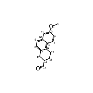 COc1ccc2c3c(ccc2c1)CC(C=O)CC3